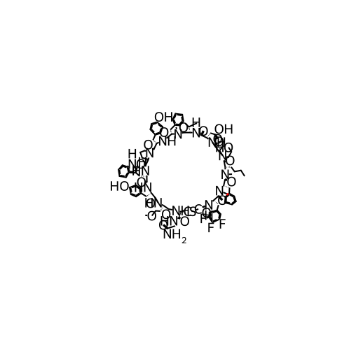 CCCC[C@H]1C(=O)N2CCOC[C@@H]2C(=O)N[C@@H](CC(=O)O)C(=O)N[C@@H](C(C)C)C(=O)N(C)[C@@H](Cc2ccccc2)C(=O)N[C@@H](Cc2ccc(O)cc2)C(=O)N2CCC[C@@H]2C(=O)N[C@@H](Cc2c[nH]c3ccccc23)C(=O)N[C@@H](Cc2ccc(O)cc2)C(=O)N[C@@H](CCOC)C(=O)N[C@H](C(=O)NCC(N)=O)CSCC(=O)N[C@@H](Cc2cc(F)c(F)c(F)c2)C(=O)N(C)[C@@H](Cc2ccccc2)C(=O)N1C